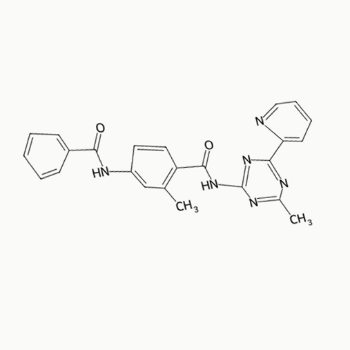 Cc1nc(NC(=O)c2ccc(NC(=O)c3ccccc3)cc2C)nc(-c2ccccn2)n1